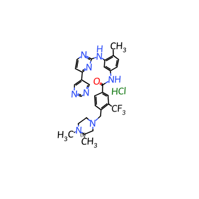 Cc1ccc(NC(=O)c2ccc(CN3CCN(C)[C@@H](C)C3)c(C(F)(F)F)c2)cc1Nc1nccc(-c2cncnc2)n1.Cl